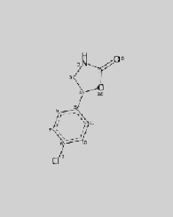 O=C1NCC(c2ccc(Cl)cc2)O1